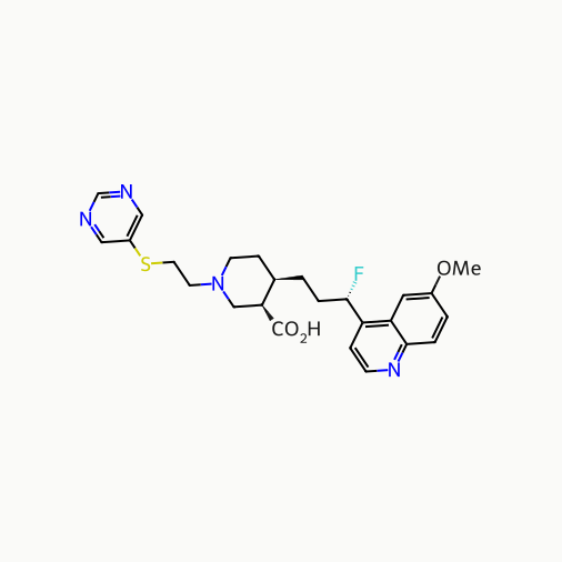 COc1ccc2nccc([C@@H](F)CC[C@@H]3CCN(CCSc4cncnc4)C[C@@H]3C(=O)O)c2c1